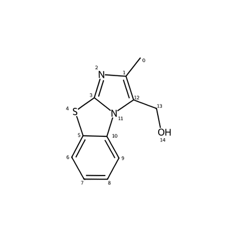 Cc1nc2sc3ccccc3n2c1CO